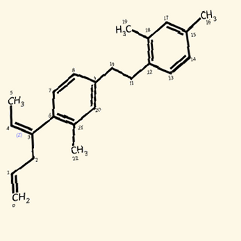 C=CC/C(=C/C)c1ccc(CCc2ccc(C)cc2C)cc1C